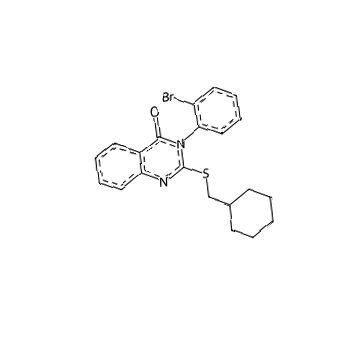 O=c1c2ccccc2nc(SCC2CCCCC2)n1-c1ccccc1Br